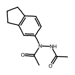 CC(=O)NN(C(C)=O)c1ccc2c(c1)CCC2